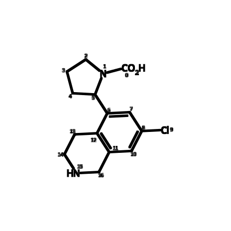 O=C(O)N1CCCC1c1cc(Cl)cc2c1CCNC2